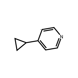 [c]1cnccc1C1CC1